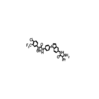 CC(C)C(N)C(=O)Nc1ccc2c(ccn2-c2ccc(NC(=O)N(O)c3ccc(Cl)c(C(F)(F)F)c3)cc2)c1